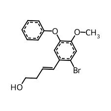 COc1cc(Br)c(C=CCCO)cc1Oc1ccccc1